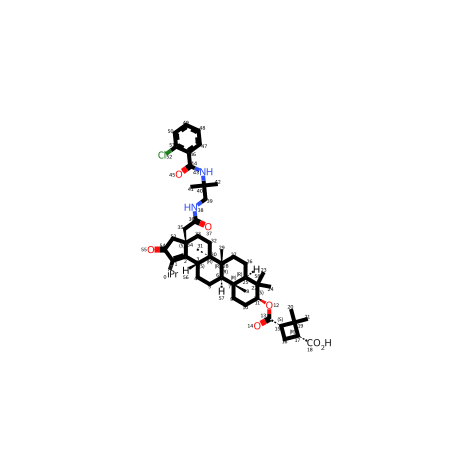 CC(C)C1=C2[C@H]3CC[C@@H]4[C@@]5(C)CC[C@H](OC(=O)[C@H]6C[C@@H](C(=O)O)C6(C)C)C(C)(C)[C@@H]5CC[C@@]4(C)[C@]3(C)CC[C@@]2(CC(=O)NCC(C)(C)NC(=O)c2ccccc2Cl)CC1=O